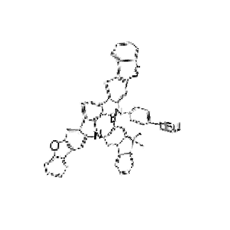 CC(C)(C)c1ccc(N2B3c4cc5c(cc4-n4c6cc7c(cc6c6ccc(c3c64)-c3cc4c(cc32)sc2ccccc24)oc2ccccc27)-c2ccccc2C5(C)C)cc1